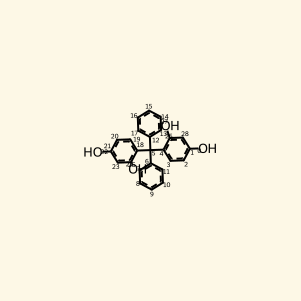 Oc1ccc(C(c2ccccc2)(c2ccccc2)c2ccc(O)cc2O)c(O)c1